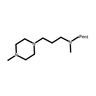 CCCC(C)N(C)CCCN1CCN(C)CC1